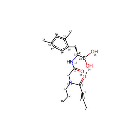 CC#CC(=O)N(CCC)CC(=O)N[C@@H](Cc1ccc(C)cc1C)B(O)O